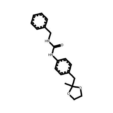 CC1(Cc2ccc(NC(=O)NCc3ccccc3)cc2)OCCO1